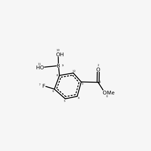 COC(=O)c1ccc(F)c(B(O)O)c1